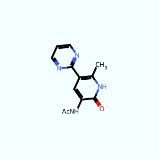 CC(=O)Nc1cc(-c2ncccn2)c(C)[nH]c1=O